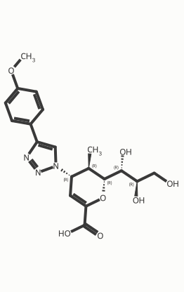 COc1ccc(-c2cn([C@H]3C=C(C(=O)O)O[C@@H]([C@H](O)[C@H](O)CO)[C@@H]3C)nn2)cc1